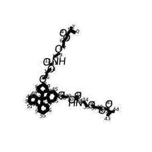 C=C(C)C(=O)OCCOCCNC(=O)OCCOc1ccc(C2(c3ccc(OCCOC(=O)NCCOCCOC(=O)C(=C)C)cc3)c3ccccc3-c3ccccc32)cc1